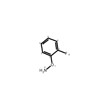 NOc1ccccc1F